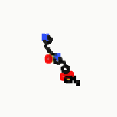 CS(=O)(=O)c1ccc(CC2=CN3CC(C#CCc4cccnc4)=S(=O)=C3C=C2)cc1